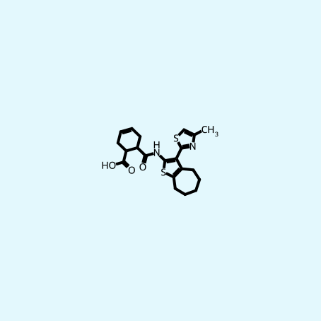 Cc1csc(-c2c(NC(=O)C3CC=CCC3C(=O)O)sc3c2CCCCC3)n1